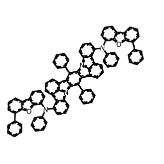 c1ccc(-c2cccc3c2oc2c(N(c4ccccc4)c4cccc5c4c4cccc6c7c(-c8ccccc8)c8c(c(-c9ccccc9)c7n5c46)c4cccc5c6c(N(c7ccccc7)c7cccc9c7oc7c(-c%10ccccc%10)cccc79)cccc6n8c54)cccc23)cc1